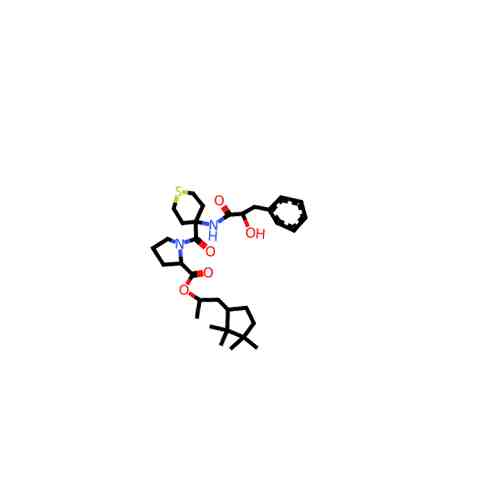 CC(CC1CCC(C)(C)C1(C)C)OC(=O)C1CCCN1C(=O)C1(NC(=O)C(O)Cc2ccccc2)CCSCC1